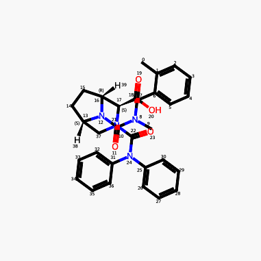 Cc1ccccc1CN(C)C(=O)N1[C@H]2CC[C@@H]1[C@@H](C(=O)O)N(C(=O)N(c1ccccc1)c1ccccc1)C2